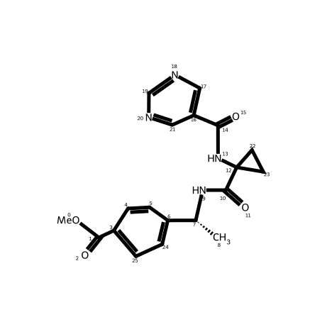 COC(=O)c1ccc([C@@H](C)NC(=O)C2(NC(=O)c3cncnc3)CC2)cc1